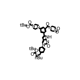 CCCCN(Cc1ccc(-n2cc3cc(-c4cc(C(=O)N5CCS(=O)(=O)CC5)cc(N5CCN(C(=O)OC(C)(C)C)CC5)c4)[nH]c3nc2=O)cc1)C(=O)OC(C)(C)C